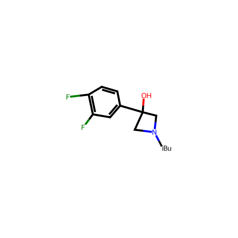 CCC(C)N1CC(O)(c2ccc(F)c(F)c2)C1